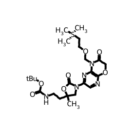 CC(C)(C)OC(=O)NCCC1(C)CN(c2cnc3c(n2)N(COCCS(C)(C)C)C(=O)CO3)C(=O)O1